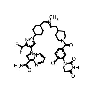 CN(CCC1CCN(C(=O)c2ccc(Cl)c(N3CCC(=O)NC3=O)c2)CC1)CC1CCC(n2cc(N3CC(C(N)=O)=C4N=CC=CN43)c(C(F)F)n2)CC1